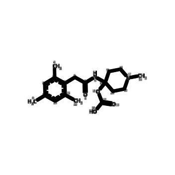 Cc1cc(C)c(CC(=O)NC2(OC(=O)O)CCN(C)CC2)c(C)c1